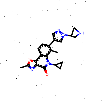 Cc1nc2c(=O)n(C3CC3)c3c(C)c(-c4cnn(C5CNC5)c4)ccc3c2o1